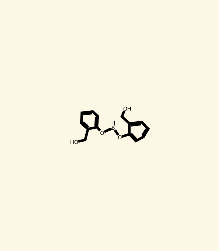 OCc1ccccc1OBOc1ccccc1CO